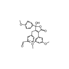 COc1ccc(C2(O)OC(=O)C(c3cc(OC)cc(OC)c3)=C2Cc2cccc(C=O)c2)cc1